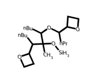 CCCCC(OC(CCC)C1CCO1)C(C)(O[SiH3])C(CCCC)C1CCO1